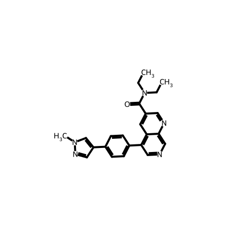 CCN(CC)C(=O)c1cnc2cncc(-c3ccc(-c4cnn(C)c4)cc3)c2c1